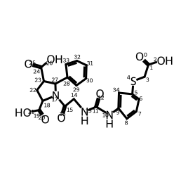 O=C(O)CSc1cccc(NC(=O)NCC(=O)N2C(C(=O)O)CC(C(=O)O)C2c2ccccc2)c1